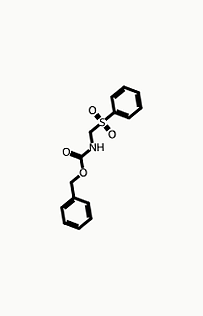 O=C(NCS(=O)(=O)c1ccccc1)OCc1ccccc1